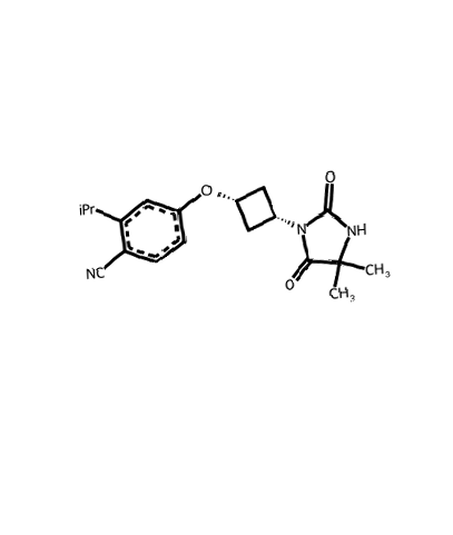 CC(C)c1cc(O[C@H]2C[C@@H](N3C(=O)NC(C)(C)C3=O)C2)ccc1C#N